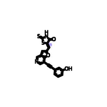 O=C1NC(=S)S/C1=C\c1cc2cncc(C#Cc3cccc(O)c3)c2o1